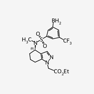 Bc1cc(C(F)(F)F)cc(S(=O)(=O)N(C)[C@@H]2CCCc3c2cnn3CC(=O)OCC)c1